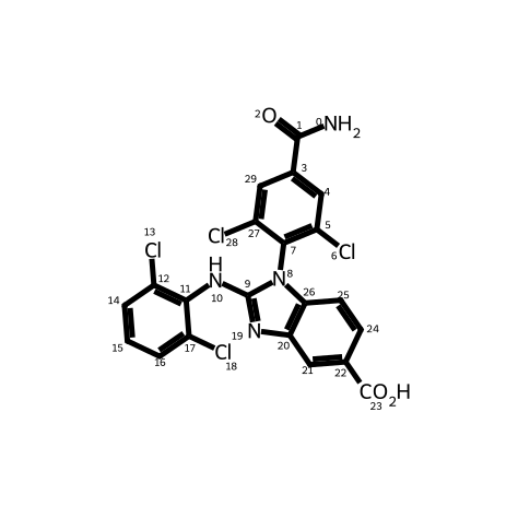 NC(=O)c1cc(Cl)c(-n2c(Nc3c(Cl)cccc3Cl)nc3cc(C(=O)O)ccc32)c(Cl)c1